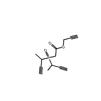 C#CCOC(=O)CP(=O)(C(C)C#C)C(C)C#C